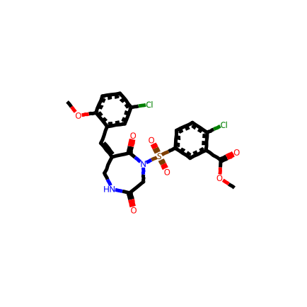 COC(=O)c1cc(S(=O)(=O)N2CC(=O)NCC(=Cc3cc(Cl)ccc3OC)C2=O)ccc1Cl